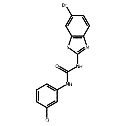 O=C(Nc1cccc(Cl)c1)Nc1nc2ccc(Br)cc2s1